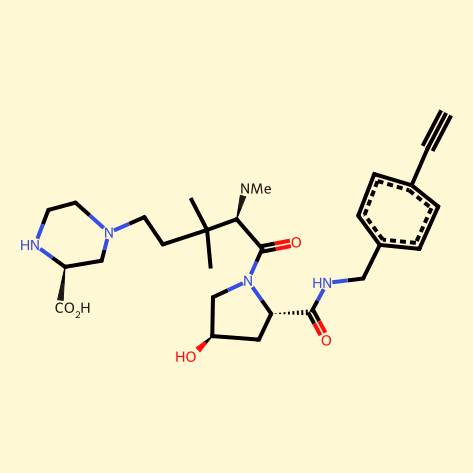 C#Cc1ccc(CNC(=O)[C@@H]2C[C@@H](O)CN2C(=O)[C@H](NC)C(C)(C)CCN2CCN[C@H](C(=O)O)C2)cc1